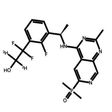 [2H]C([2H])(O)C(F)(F)c1cccc([C@@H](C)Nc2nc(C)nc3cnc(P(C)(C)=O)cc23)c1F